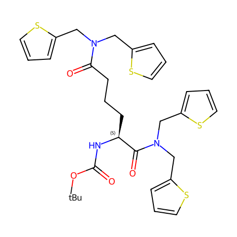 CC(C)(C)OC(=O)N[C@@H](CCCC(=O)N(Cc1cccs1)Cc1cccs1)C(=O)N(Cc1cccs1)Cc1cccs1